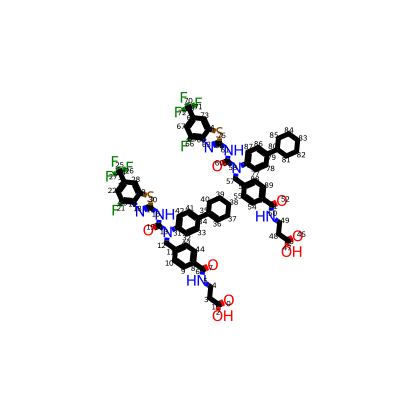 O=C(O)CCNC(=O)c1ccc(CN(C(=O)Nc2nc3c(F)cc(C(F)(F)F)cc3s2)c2ccc(C3=CCCCC3)cc2)cc1.O=C(O)CCNC(=O)c1ccc(CN(C(=O)Nc2nc3c(F)cc(C(F)(F)F)cc3s2)c2ccc(C3CCCCC3)cc2)cc1